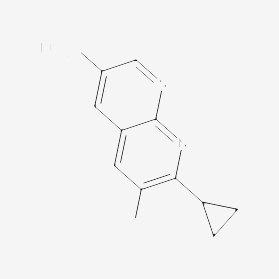 CCOC(=O)c1cnc2nc(C3CC3)c(Cl)cc2c1